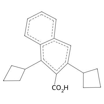 O=C(O)c1c(C2CCC2)cc2ccccc2c1C1CCC1